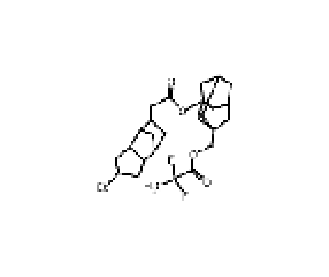 CCC1CC2C3CC(CC(=O)OC45CC6CC(CC(COC(=O)C(C)(F)F)(C6)C4)C5)C(C3)C2C1